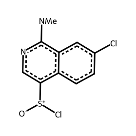 CNc1ncc([S+]([O-])Cl)c2ccc(Cl)cc12